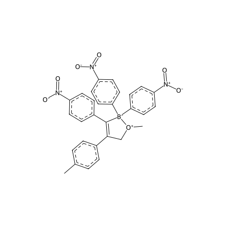 Cc1ccc(C2=C(c3ccc([N+](=O)[O-])cc3)[B-](c3ccc([N+](=O)[O-])cc3)(c3ccc([N+](=O)[O-])cc3)[O+](C)C2)cc1